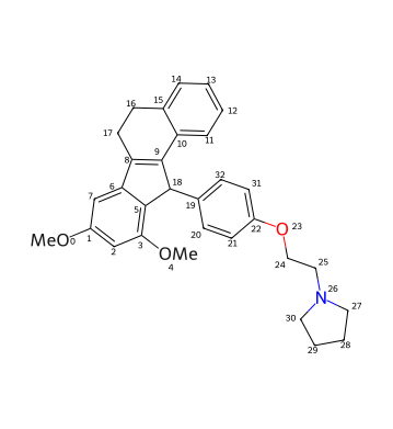 COc1cc(OC)c2c(c1)C1=C(c3ccccc3CC1)C2c1ccc(OCCN2CCCC2)cc1